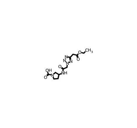 CCOC(=O)Cc1nnn(CC(=O)NC2CCN(C(=O)O)C2)n1